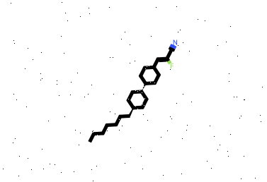 CCCCCCC[C@H]1CC[C@H](C2CCC(C=C(F)C#N)CC2)CC1